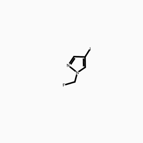 FCn1cc(I)cn1